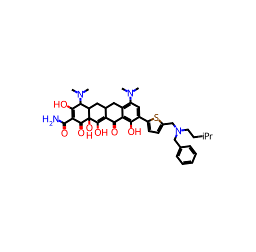 CC(C)CCN(Cc1ccccc1)Cc1ccc(-c2cc(N(C)C)c3c(c2O)C(=O)C2=C(O)C4(O)C(=O)C(C(N)=O)=C(O)C(N(C)C)C4CC2C3)s1